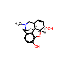 CN1CC2C=C[C@H](O)[C@@H]3Oc4c(O)ccc5c4[C@]23CC1C5